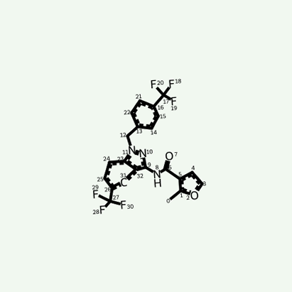 Cc1occc1C(=O)Nc1nn(Cc2ccc(C(F)(F)F)cc2)c2ccc(C(F)(F)F)cc12